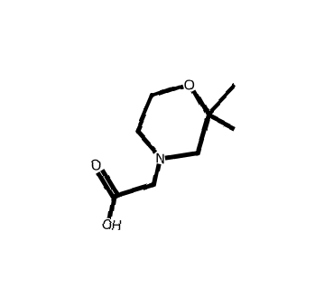 CC1(C)CN(CC(=O)O)CCO1